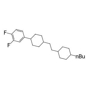 CCCCC1CCC(CCC2CCC(c3ccc(F)c(F)c3)CC2)CC1